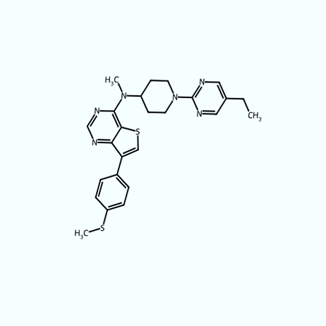 CCc1cnc(N2CCC(N(C)c3ncnc4c(-c5ccc(SC)cc5)csc34)CC2)nc1